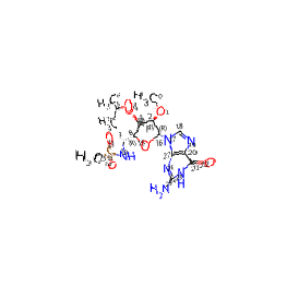 CO[C@@H]1[C@H](OC(C)C)[C@@H](CNS(C)(=O)=O)O[C@H]1n1cnc2c(=O)[nH]c(N)nc21